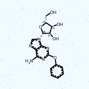 Nc1nc(Oc2ccccc2)nc2c1ncn2[C@@H]1O[C@H](CO)[C@@H](O)[C@H]1O